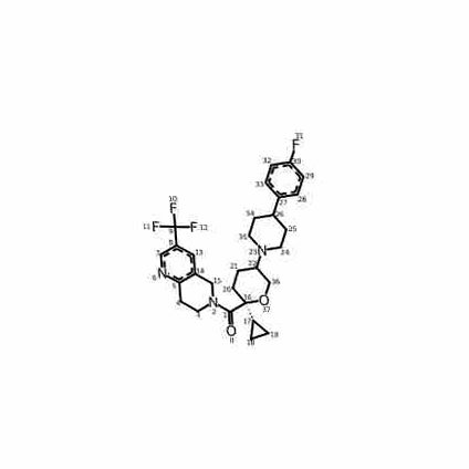 O=C(N1CCc2ncc(C(F)(F)F)cc2C1)[C@@]1(C2CC2)CCC(N2CCC(c3ccc(F)cc3)CC2)CO1